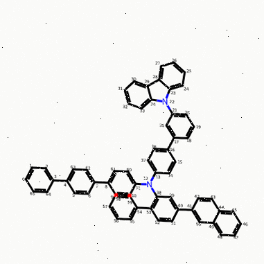 c1ccc(-c2ccc(-c3ccc(N(c4ccc(-c5cccc(-n6c7ccccc7c7ccccc76)c5)cc4)c4cc(-c5ccc6ccccc6c5)ccc4-c4ccccc4)cc3)cc2)cc1